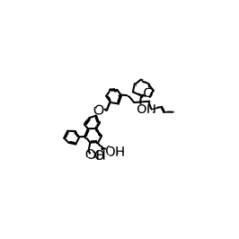 CCCCCC(O)(CCc1cccc(COc2ccc3c(-c4ccccc4)c(CO)c(C(=O)O)cc3c2)c1)C12CCCC(CC1)O2